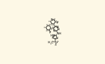 CC1(c2n[nH]c(Nc3nnc(-c4ccncc4F)c(-c4ccccc4F)n3)n2)CC1